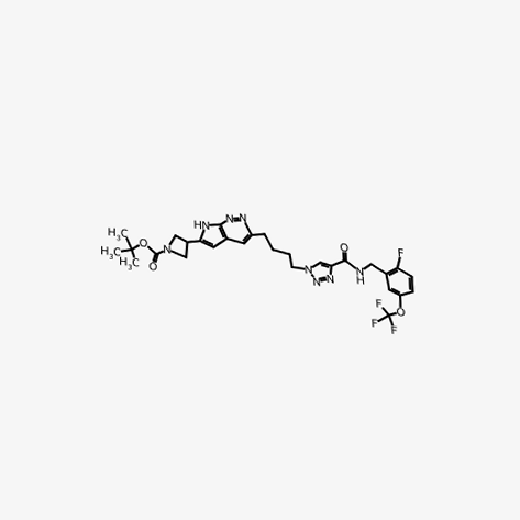 CC(C)(C)OC(=O)N1CC(c2cc3cc(CCCCn4cc(C(=O)NCc5cc(OC(F)(F)F)ccc5F)nn4)nnc3[nH]2)C1